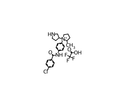 CC1CCC[N+]1(c1ccc(NC(=O)c2ccc(Cl)cc2)cc1)C1CCNC1.O=C(O)C(F)(F)F